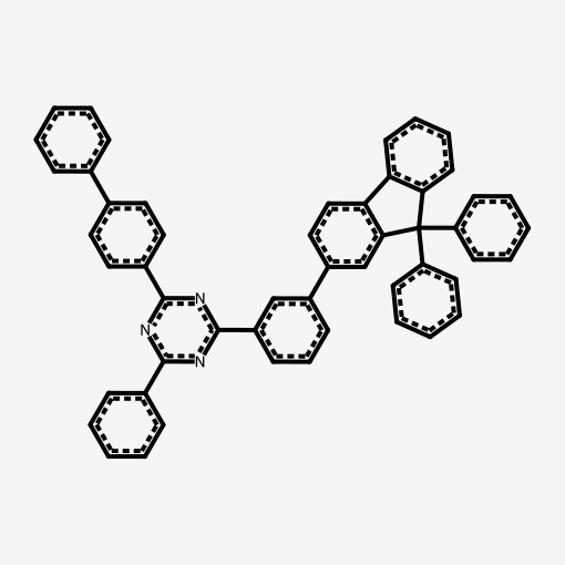 c1ccc(-c2ccc(-c3nc(-c4ccccc4)nc(-c4cccc(-c5ccc6c(c5)C(c5ccccc5)(c5ccccc5)c5ccccc5-6)c4)n3)cc2)cc1